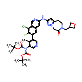 Cc1c(-c2cc3cc(Nc4cc5n(n4)CC(=O)N(CC4COC4)CC5)ncc3c(Cl)c2F)cncc1N(C(=O)OC(C)(C)C)C(=O)OC(C)(C)C